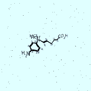 Cl.Cl.Nc1ccc(NCCCCCC(=O)O)cc1